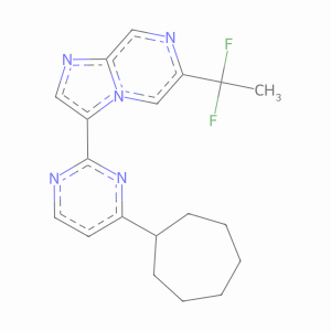 CC(F)(F)c1cn2c(-c3nccc(C4CCCCCC4)n3)cnc2cn1